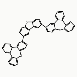 c1ccc2c(c1)Oc1ccc(-c3ccc4sc5ccc(-c6ccc7c(c6)-c6ccccc6-c6ccccc6O7)cc5c4c3)cc1-c1ccccc1-2